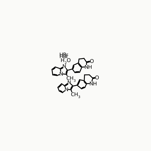 Br.Br.Cc1c(-c2ccc3c(c2)CCC(=O)N3)nc2ccccn12.Cc1c(-c2ccc3c(c2)CCC(=O)N3)nc2ccccn12.O